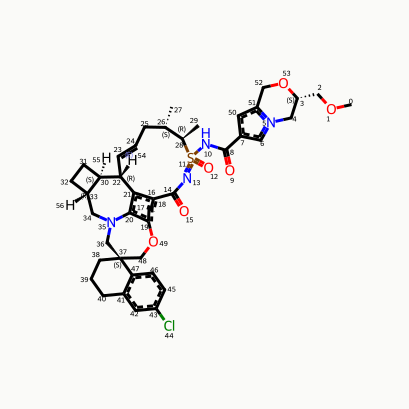 COC[C@@H]1Cn2cc(C(=O)NS3(=O)=NC(=O)c4ccc5c6c4[C@@H](/C=C/C[C@H](C)[C@H]3C)[C@@H]3CC[C@H]3CN6C[C@@]3(CCCc4cc(Cl)ccc43)CO5)cc2CO1